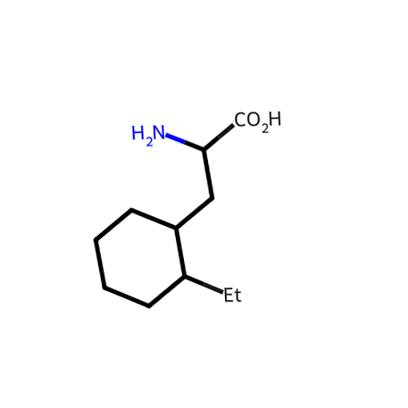 CCC1CCCCC1CC(N)C(=O)O